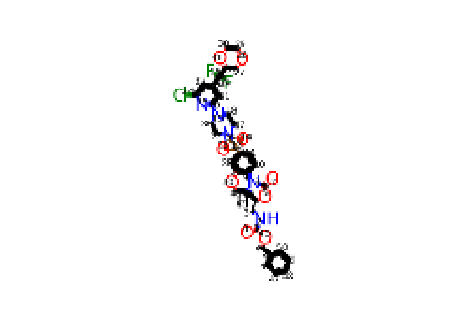 O=C(NC[C@@H]1OC(=O)N2c3ccc(S(=O)(=O)N4CCN(c5cc(C(F)(F)C6COCCO6)cc(Cl)n5)CC4)cc3OC[C@H]12)OCc1ccccc1